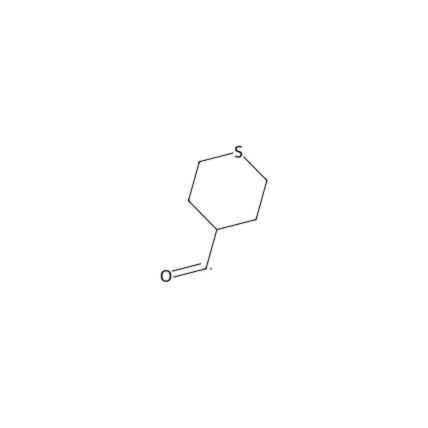 O=[C]C1CCSCC1